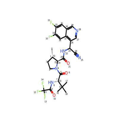 C[C@H]1CCN(C(=O)[C@@H](NC(=O)C(F)(F)F)C(C)(C)C)[C@@H]1C(=O)NC(C#N)c1cncc2cc(F)c(F)cc12